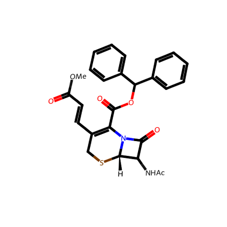 COC(=O)C=CC1=C(C(=O)OC(c2ccccc2)c2ccccc2)N2C(=O)C(NC(C)=O)[C@@H]2SC1